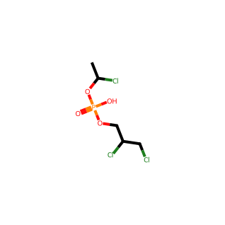 CC(Cl)OP(=O)(O)OCC(Cl)CCl